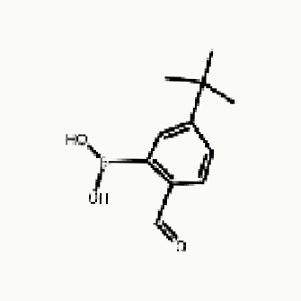 CC(C)(C)c1ccc(C=O)c(B(O)O)c1